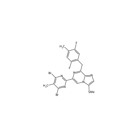 CSc1cnc2c(Cc3cc(F)c(C)cc3F)nc(-c3nc(Br)c(C)c(Br)n3)cn12